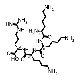 N=C(N)NCCC[C@H](NC(=O)[C@H](CCCCN)NC(=O)[C@H](CCCCN)NC(=O)[C@@H](N)CCCCN)C(=O)O